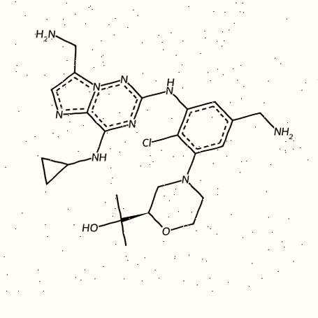 CC(C)(O)[C@H]1CN(c2cc(CN)cc(Nc3nc(NC4CC4)c4ncc(CN)n4n3)c2Cl)CCO1